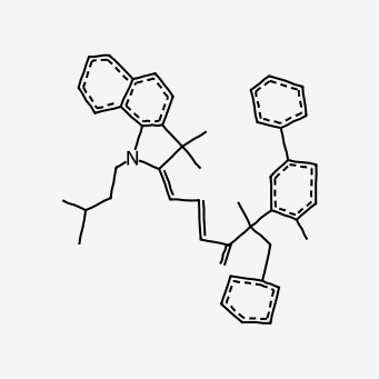 C=C(/C=C/C=C1/N(CCC(C)C)c2c(ccc3ccccc23)C1(C)C)C(C)(Cc1ccccc1)c1cc(-c2ccccc2)ccc1C